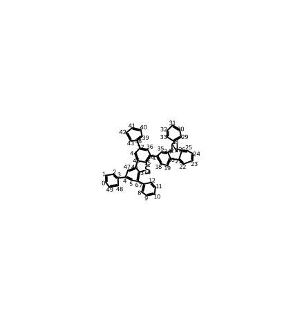 c1ccc(-c2cc(-c3ccccc3)c3sc4c(-c5ccc6c7ccccc7n(-c7ccccc7)c6c5)cc(-c5ccccc5)cc4c3c2)cc1